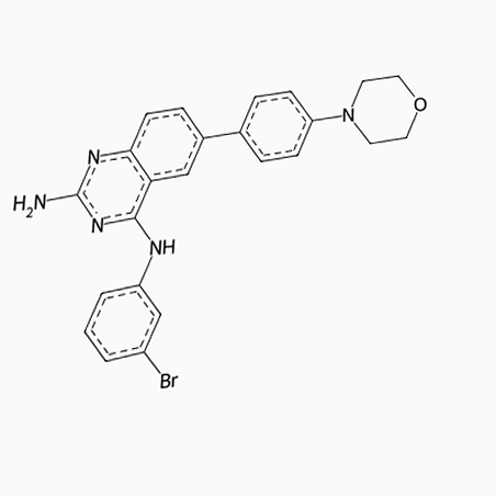 Nc1nc(Nc2cccc(Br)c2)c2cc(-c3ccc(N4CCOCC4)cc3)ccc2n1